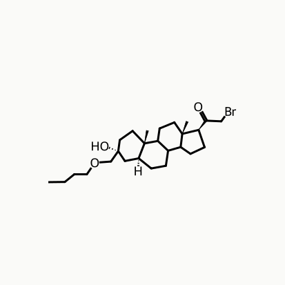 CCCCOC[C@@]1(O)CC[C@]2(C)C3CC[C@@]4(C)C(CC[C@@H]4C(=O)CBr)C3CC[C@H]2C1